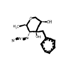 C[C@H]1O[CH][C@@H](O)[C@](O)(Cc2ccccc2)[C@@H]1N=[N+]=[N-]